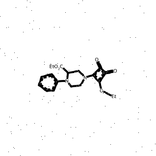 CCOC(=O)C1CN(c2c(OCC)c(=O)c2=O)CCN1c1ccccc1